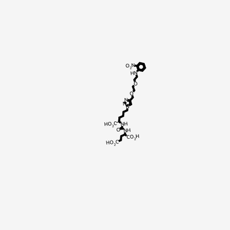 O=C(O)CCC(NC(=O)N[C@@H](CCCCn1cc(COCCOCCNc2ccccc2[N+](=O)[O-])nn1)C(=O)O)C(=O)O